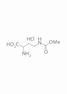 COC(=O)NCCC(N)C(=O)O.Cl